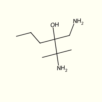 CCCC(O)(CN)C(C)(C)N